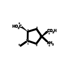 CN1C[C@](N)(C(=O)O)C[C@H]1C(=O)O